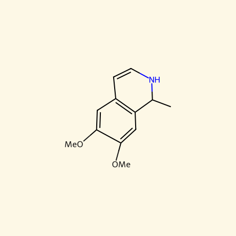 COc1cc2c(cc1OC)C(C)NC=C2